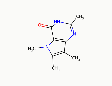 Cc1nc2c(C)c(C)n(C)c2c(=O)[nH]1